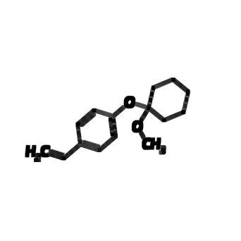 C=Cc1ccc(OC2(OC)CCCCC2)cc1